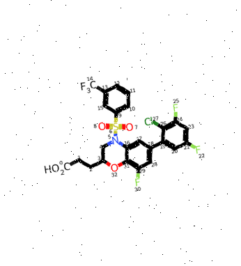 O=C(O)CCC1CN(S(=O)(=O)c2cccc(C(F)(F)F)c2)c2cc(-c3cc(F)cc(F)c3Cl)cc(F)c2O1